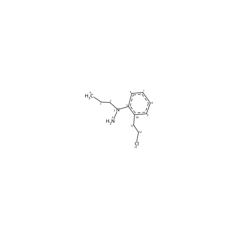 CCCN(N)c1ccccc1CCCl